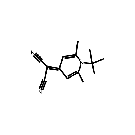 CC1=CC(=C(C#N)C#N)C=C(C)N1C(C)(C)C